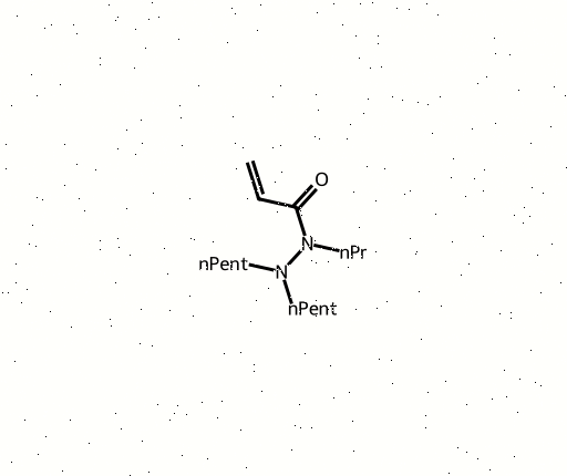 C=CC(=O)N(CCC)N(CCCCC)CCCCC